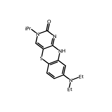 CCN(CC)c1ccc2c(c1)Nc1nc(=O)n(C(C)C)cc1S2